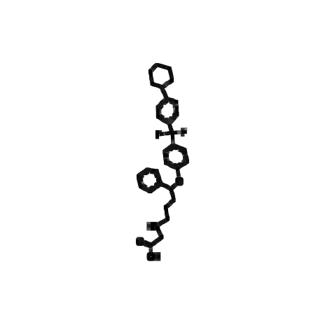 O=C(O)CNCCCC(Oc1ccc(C(F)(F)c2ccc(C3CCCCC3)cc2)cc1)c1ccccc1